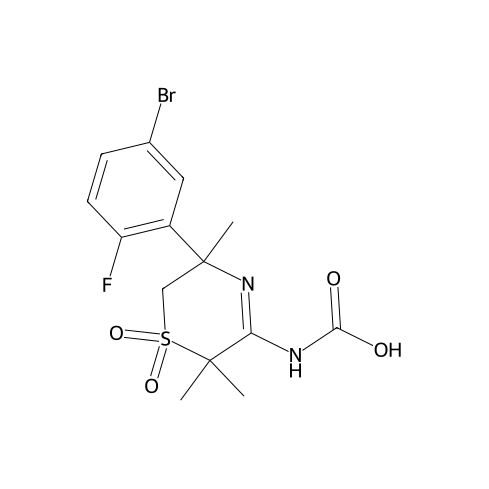 CC1(c2cc(Br)ccc2F)CS(=O)(=O)C(C)(C)C(NC(=O)O)=N1